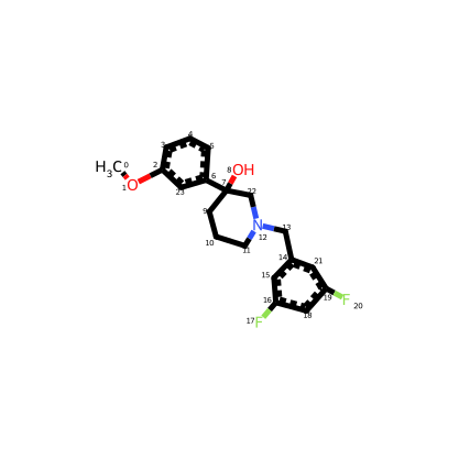 COc1cccc(C2(O)CCCN(Cc3cc(F)cc(F)c3)C2)c1